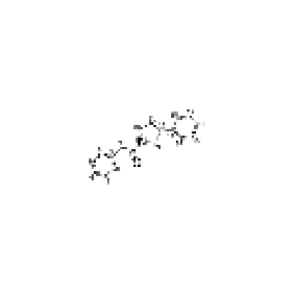 O=C(Cc1ccccc1)N1CCC(c2ccccc2)C1